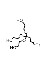 CCCC(OCCO)(OCCO)OCCO